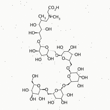 CC(CN(C)CC(=O)O)[C@@H](O)[C@H](O)[C@H](O)COC1O[C@H](CO[C@@H]2O[C@H](CO[C@@H]3O[C@H](CO[C@@H]4O[C@H](CO[C@@H]5O[C@H](CO)[C@@H](O)[C@H](O)[C@H]5O)[C@@H](O)[C@H](O)[C@H]4O)[C@@H](O)[C@H](O)[C@H]3O)[C@@H](O)[C@H](O)[C@H]2O)[C@@H](O)[C@H](O)[C@H]1O